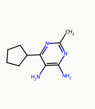 Cc1nc(N)c(N)c(C2CCCC2)n1